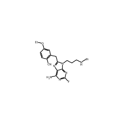 CCOc1ccc(C#N)c(Cc2nc3c(N)nc(F)nc3n2CCCNC(C)C)c1